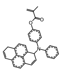 C=C(C)C(=O)Oc1ccc(N(c2ccccc2)C2C=Cc3ccc4c5c(ccc2c35)CC=C4)cc1